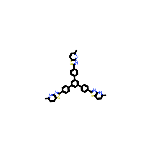 Cc1ccc2sc(-c3ccc(-c4cc(-c5ccc(-c6nc7nc(C)ccc7s6)cc5)cc(-c5ccc(-c6nc7nc(C)ccc7s6)cc5)c4)cc3)nc2n1